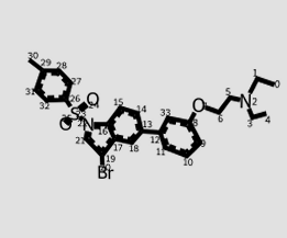 CCN(CC)CCOc1cccc(-c2ccc3c(c2)c(Br)cn3S(=O)(=O)c2ccc(C)cc2)c1